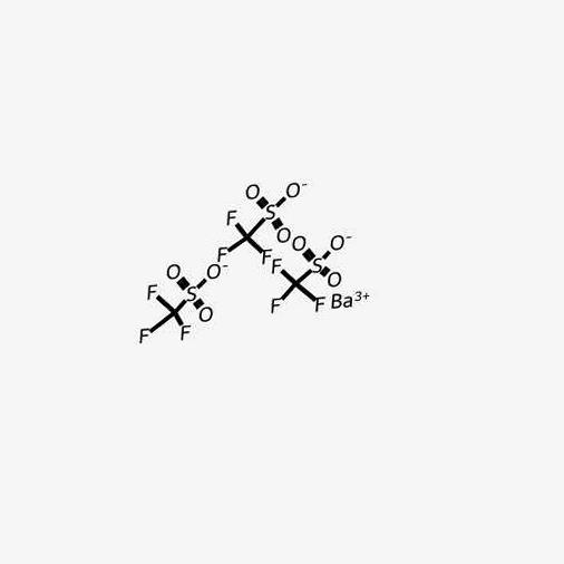 O=S(=O)([O-])C(F)(F)F.O=S(=O)([O-])C(F)(F)F.O=S(=O)([O-])C(F)(F)F.[Ba+3]